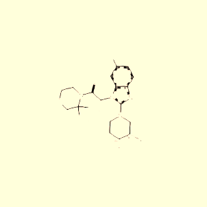 CC1(C)COCCN1C(=O)Cn1c(N2CC[C@@H](F)[C@H](N)C2)nc2ccc(F)cc21